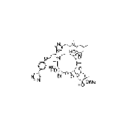 CC[C@H]1OC(=O)[C@H](C)[C@@H](O[C@H]2C[C@@](C)(OC)[C@@H](O)[C@H](C)O2)[C@H](C)[C@@H](O[C@@H]2C[C@H](C)C[C@H](N(C)CCc3cn(CCCOc4ccc(-c5cncnc5)cc4)nn3)[C@H]2O)[C@](C)(O)C[C@@H](C)CN(C)[C@H](C)[C@@H](O)[C@]1(C)O